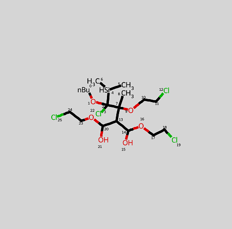 CCCCOC(Cl)([SiH](C)C)C(C)(OCCCl)C(C(O)OCCCl)C(O)OCCCl